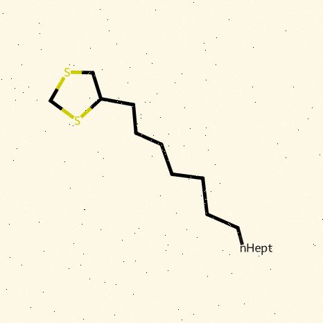 CCCCCCCCCCCCCCC1CSCS1